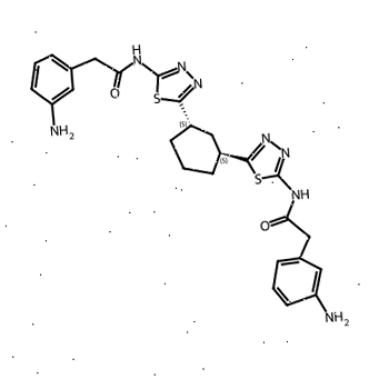 Nc1cccc(CC(=O)Nc2nnc([C@H]3CCC[C@H](c4nnc(NC(=O)Cc5cccc(N)c5)s4)C3)s2)c1